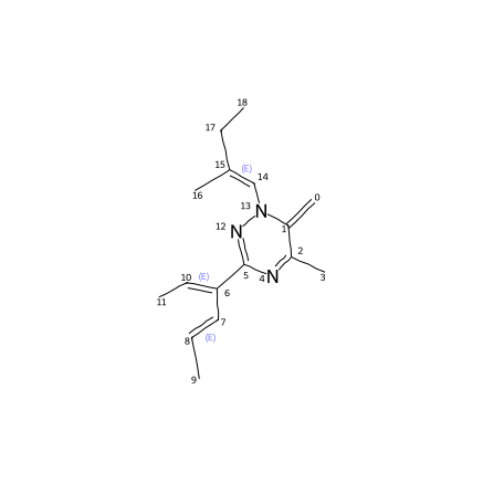 C=C1C(C)=NC(C(/C=C/C)=C/C)=NN1/C=C(\C)CC